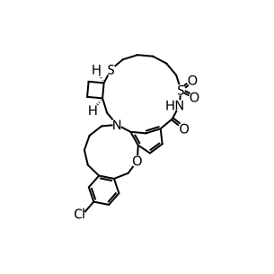 O=C1NS(=O)(=O)CCCCCS[C@@H]2CC[C@@H]2CN2CCCCc3cc(Cl)ccc3COc3ccc1cc32